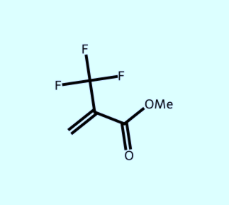 C=C(C(=O)OC)C(F)(F)F